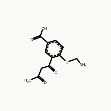 CC(=O)CC(=O)c1cc(C(=O)O)ccc1OCN